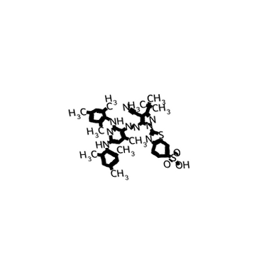 Cc1cc(C)c(Nc2cc(C)c(N=Nc3c(C#N)c(C(C)(C)C)nn3-c3nc4ccc(S(=O)(=O)O)cc4s3)c(Nc3c(C)cc(C)cc3C)n2)c(C)c1